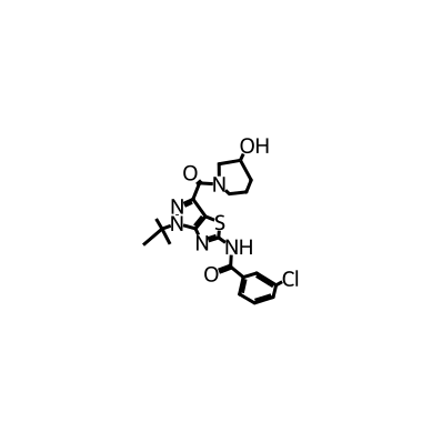 CC(C)(C)n1nc(C(=O)N2CCCC(O)C2)c2sc(NC(=O)c3cccc(Cl)c3)nc21